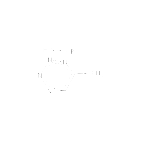 CCCN.Cc1cnnnn1